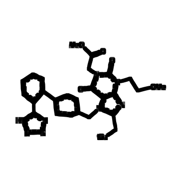 COCCn1c(=O)n(CC(=O)OC)c(=O)c2c1nc(CC(C)(C)C)n2Cc1ccc(-c2ccccc2-c2nnn[nH]2)cc1